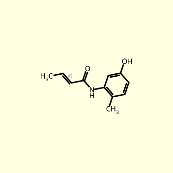 C/C=C/C(=O)Nc1cc(O)ccc1C